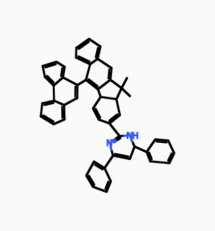 CC1(C)c2cc3ccccc3c(-c3cc4ccccc4c4ccccc34)c2C2C=CC(C3=NC(c4ccccc4)=CC(c4ccccc4)N3)=CC21